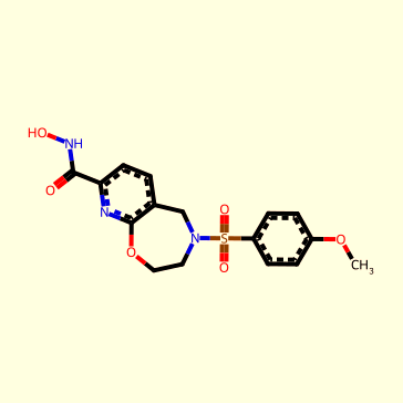 COc1ccc(S(=O)(=O)N2CCOc3nc(C(=O)NO)ccc3C2)cc1